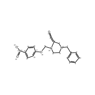 O=C=C1CN(Cc2ccccc2)CCN1COc1ccc([N+](=O)[O-])cc1